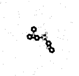 Clc1nc(-c2ccc3c(c2)oc2ccccc23)nc(-c2ccc3c4ccccc4n(-c4ccccc4)c3c2)n1